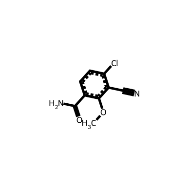 COc1c(C(N)=O)ccc(Cl)c1C#N